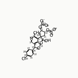 Cc1ncc2c(c1C1(C(=O)O)C[C@@H](O[N+](=O)[O-])[C@H](O[N+](=O)[O-])C1)COC2c1ccc(Cl)cc1